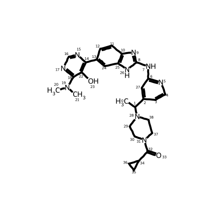 CC(c1ccnc(Nc2nc3ccc(-c4ncnc(N(C)C)c4O)cc3[nH]2)c1)N1CCN(C(=O)C2CC2)CC1